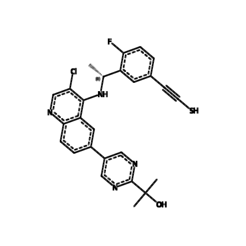 C[C@@H](Nc1c(Cl)cnc2ccc(-c3cnc(C(C)(C)O)nc3)cc12)c1cc(C#CS)ccc1F